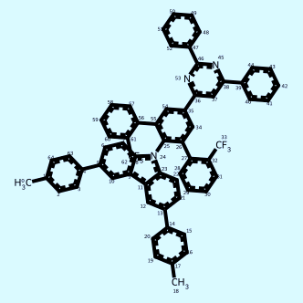 Cc1ccc(-c2ccc3c(c2)c2cc(-c4ccc(C)cc4)ccc2n3-c2c(-c3ccccc3C(F)(F)F)cc(-c3cc(-c4ccccc4)nc(-c4ccccc4)n3)cc2-c2ccccc2C(F)(F)F)cc1